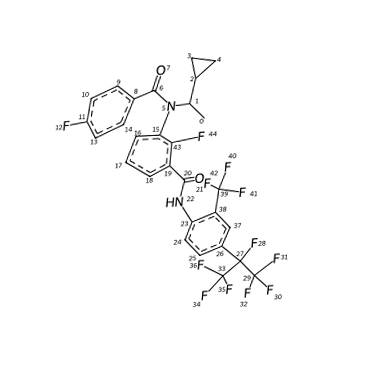 CC(C1CC1)N(C(=O)c1ccc(F)cc1)c1cccc(C(=O)Nc2ccc(C(F)(C(F)(F)F)C(F)(F)F)cc2C(F)(F)F)c1F